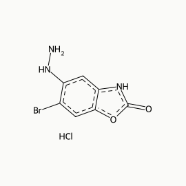 Cl.NNc1cc2[nH]c(=O)oc2cc1Br